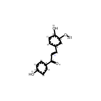 CCOc1cc(/C=C/C(=O)c2ccc(O)cc2)ccc1O